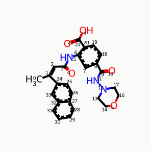 C/C(=C/C(=O)Nc1cc(C(=O)NN2CCOCC2)ccc1C(=O)O)c1ccc2ccccc2c1